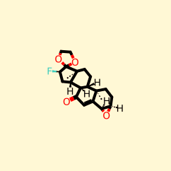 C[C@]12CC[C@H]3O[C@H]3C1=CC(=O)[C@@H]1[C@@H]2CC[C@@]2(C)[C@H]1C[C@@H](F)C21OCCO1